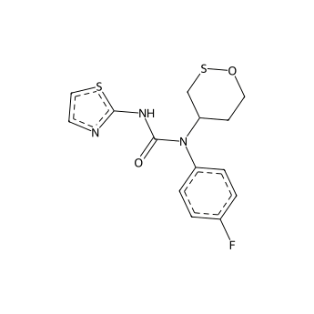 O=C(Nc1nccs1)N(c1ccc(F)cc1)C1CCOSC1